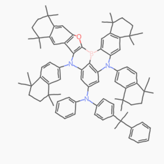 CC1(C)CCC(C)(C)c2cc(N3c4cc5c(cc4B4c6oc7cc8c(cc7c6N(c6ccc7c(c6)C(C)(C)CCC7(C)C)c6cc(N(c7ccccc7)c7ccc(C(C)(C)c9ccccc9)cc7)cc3c64)C(C)(C)CCC8(C)C)C(C)(C)CCC5(C)C)ccc21